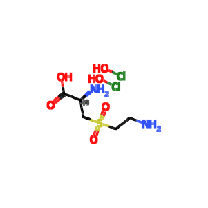 NCCS(=O)(=O)C[C@H](N)C(=O)O.OCl.OCl